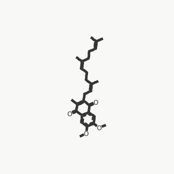 COc1cc2c(cc1OC)C(=O)C(CC=C(C)CCC=C(C)CCC=C(C)C)=C(C)C2=O